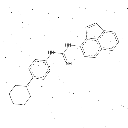 N=C(Nc1ccc(C2CCCCC2)cc1)Nc1ccc2cccc3c2c1C=C3